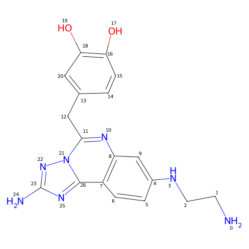 NCCNc1ccc2c(c1)nc(Cc1ccc(O)c(O)c1)n1nc(N)nc21